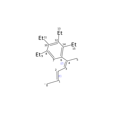 [CH2]/C=C/C=C(/C)c1cc(CC)c(CC)c(CC)c1CC